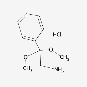 COC(CN)(OC)c1ccccc1.Cl